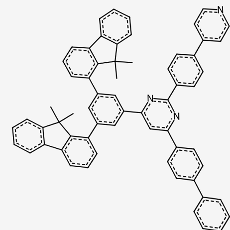 CC1(C)c2ccccc2-c2cccc(-c3cc(-c4cc(-c5ccc(-c6ccccc6)cc5)nc(-c5ccc(-c6ccncc6)cc5)n4)cc(-c4cccc5c4C(C)(C)c4ccccc4-5)c3)c21